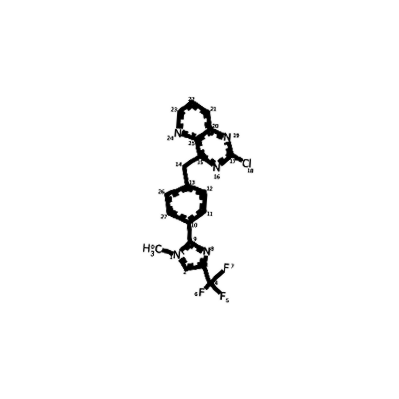 Cn1cc(C(F)(F)F)nc1-c1ccc(Cc2nc(Cl)nc3cccnc23)cc1